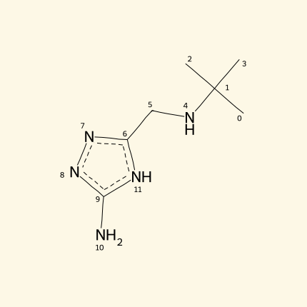 CC(C)(C)NCc1nnc(N)[nH]1